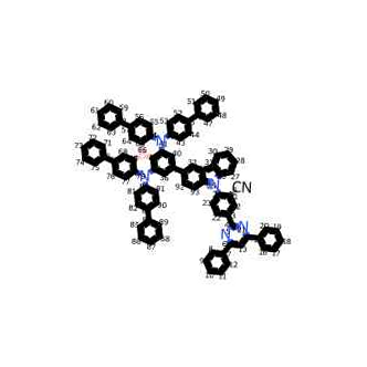 N#Cc1cc(-c2nc(-c3ccccc3)cc(-c3ccccc3)n2)ccc1-n1c2ccccc2c2cc(-c3cc4c5c(c3)N(c3ccc(-c6ccccc6)cc3)c3ccc(-c6ccccc6)cc3B5c3cc(-c5ccccc5)ccc3N4c3ccc(-c4ccccc4)cc3)ccc21